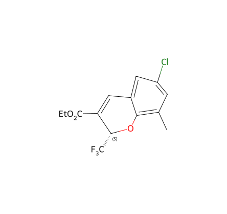 CCOC(=O)C1=Cc2cc(Cl)cc(C)c2O[C@@H]1C(F)(F)F